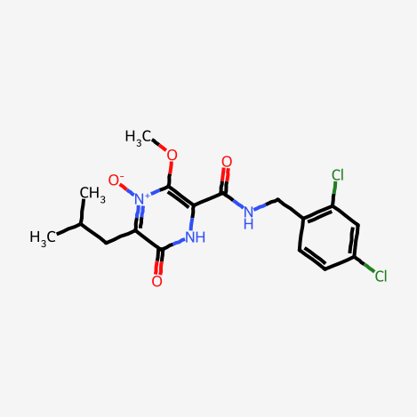 COc1c(C(=O)NCc2ccc(Cl)cc2Cl)[nH]c(=O)c(CC(C)C)[n+]1[O-]